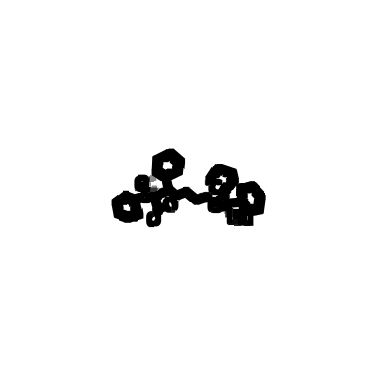 CC(C)(C)[Si](OCCCC1OC(=O)C([S+]([O-])c2ccccc2)C1c1ccccc1)(c1ccccc1)c1ccccc1